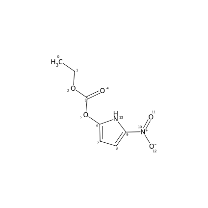 CCOC(=O)Oc1ccc([N+](=O)[O-])[nH]1